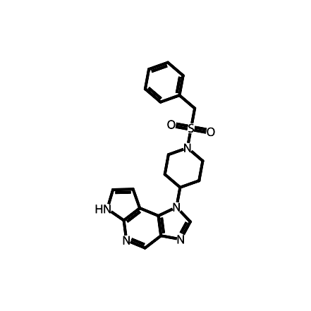 O=S(=O)(Cc1ccccc1)N1CCC(n2cnc3cnc4[nH]ccc4c32)CC1